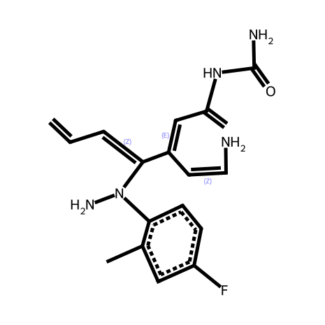 C=C/C=C(C(/C=C\N)=C/C(=C)NC(N)=O)\N(N)c1ccc(F)cc1C